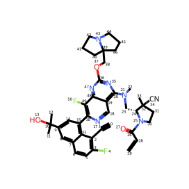 C#Cc1c(F)ccc2cc(C(C)(C)O)cc(-c3ncc4c(N(C)C[C@H]5N(C(=O)C=C)CCC5(C)C#N)nc(OCC56CCCN5CCC6)nc4c3F)c12